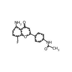 CC(=O)Nc1ccc(-c2cc(=O)c3c(N)ccc(F)c3o2)cc1